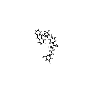 Cc1oc(-c2c3ccccc3cc3ccccc23)nc1CN1CCC(C(=O)NCCCN2C[C@H](C)C[C@H](C)C2)CC1